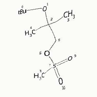 CC(C)(C)OC(C)(C)COS(C)(=O)=O